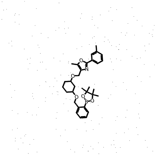 Cc1cccc(-c2nc(COC3CCCC(OCc4ccccc4B4OC(C)(C)C(C)(C)O4)C3)c(C)o2)c1